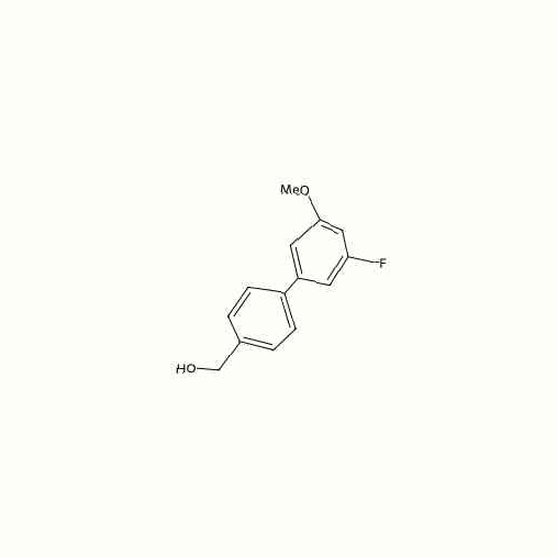 COc1cc(F)cc(-c2ccc(CO)cc2)c1